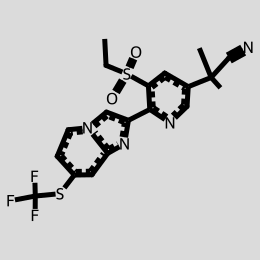 CCS(=O)(=O)c1cc(C(C)(C)C#N)cnc1-c1cn2ccc(SC(F)(F)F)cc2n1